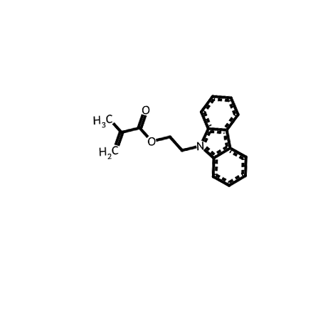 C=C(C)C(=O)OCCn1c2ccccc2c2ccccc21